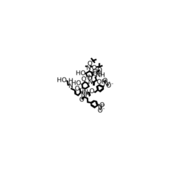 C=C(N[C@H]1C[C@@H](NC(=C)[C@H](O)CNC(=O)OC(C)(C)C)[C@H](O[C@H]2OC[C@](C)(O)[C@H](N(C)C(=O)OC(C)(C)C)[C@H]2O)[C@@H](O)C1[C@H]1OC(CNCCO)=CC[C@H]1NC(=O)CCc1ccc([N+](=O)[O-])cc1)OCc1ccc([N+](=O)[O-])cc1